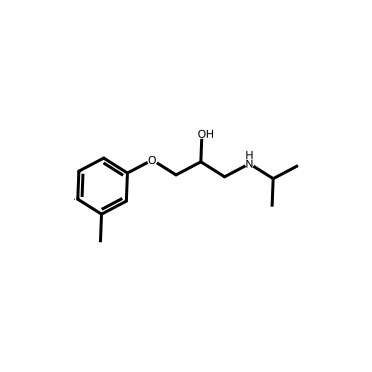 Cc1[c]ccc(OCC(O)CNC(C)C)c1